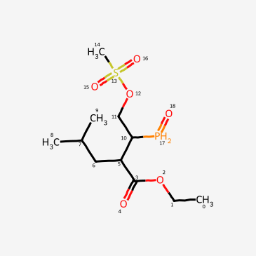 CCOC(=O)C(CC(C)C)C(COS(C)(=O)=O)[PH2]=O